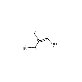 CCC/C(C)=C\O